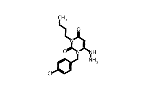 CCCCn1c(=O)cc(NN)n(Cc2ccc(Cl)cc2)c1=O